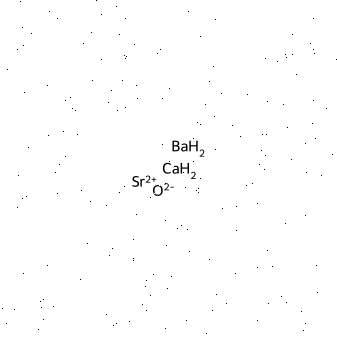 [BaH2].[CaH2].[O-2].[Sr+2]